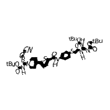 CC(C)(C)OC(=O)N=C(NCCSc1ccc(NC(=O)c2ccc(C3=CCN(C(=BOC#N)NC(=O)OC(C)(C)C)CC3)s2)cc1)NC(=O)OC(C)(C)C